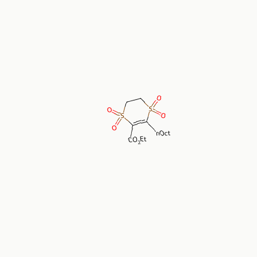 CCCCCCCCC1=C(C(=O)OCC)S(=O)(=O)CCS1(=O)=O